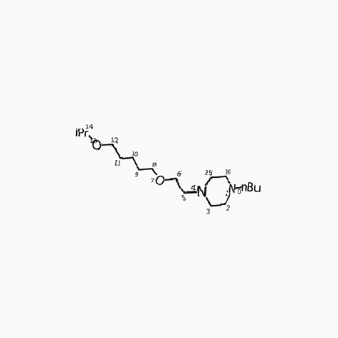 CCCCN1CCN(CCOCCCCCOC(C)C)CC1